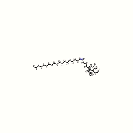 CCCCCCCCCCCCCCCCCC/C=C\CCCOP(=O)(O)C(CC)[N+](C)(C)C